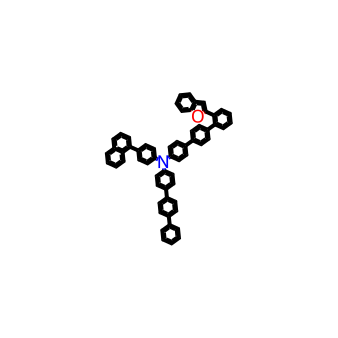 c1ccc(-c2ccc(-c3ccc(N(c4ccc(-c5ccc(-c6ccccc6-c6cc7ccccc7o6)cc5)cc4)c4ccc(-c5cccc6ccccc56)cc4)cc3)cc2)cc1